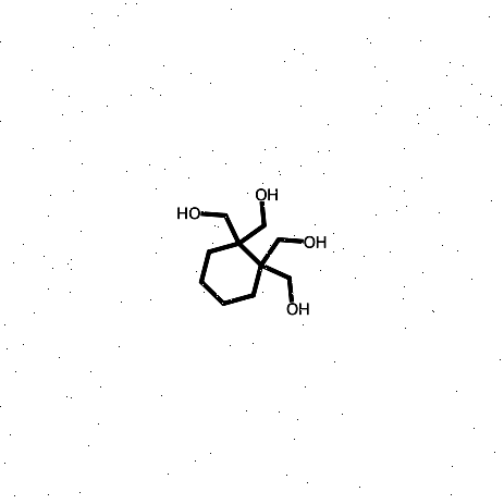 OCC1(CO)CCCCC1(CO)CO